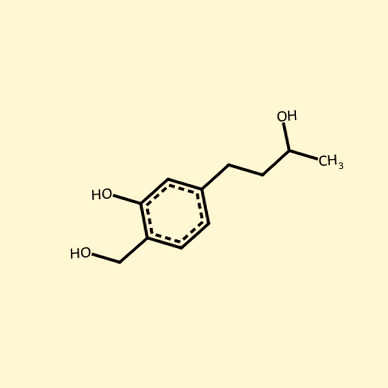 CC(O)CCc1ccc(CO)c(O)c1